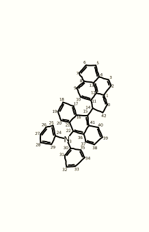 C1=c2ccc3cccc4ccc(c2c43)C(c2c3ccccc3c(N(c3ccccc3)c3ccccc3)c3ccccc23)C1